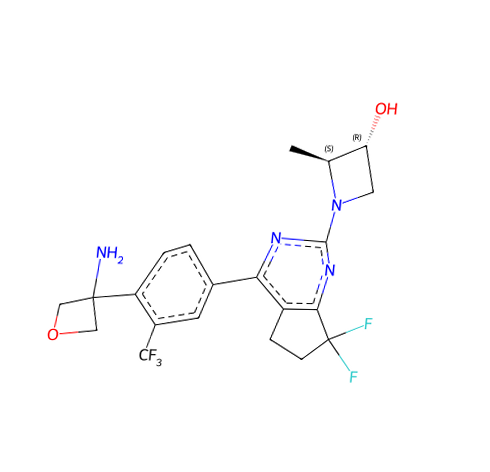 C[C@H]1[C@H](O)CN1c1nc(-c2ccc(C3(N)COC3)c(C(F)(F)F)c2)c2c(n1)C(F)(F)CC2